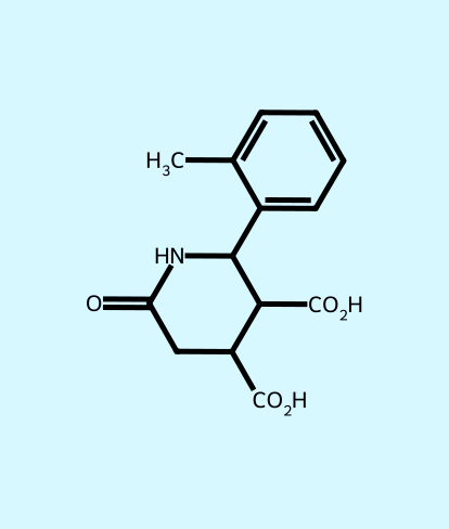 Cc1ccccc1C1NC(=O)CC(C(=O)O)C1C(=O)O